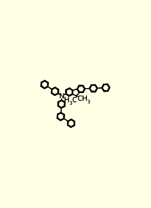 CC1(C)c2cc(-c3ccc(-c4ccccc4)cc3)ccc2-c2ccc(N(c3ccc(-c4ccccc4)cc3)c3ccc(-c4cccc(-c5ccccc5)c4)cc3)cc21